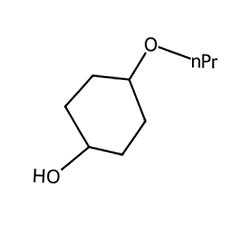 CCCOC1CCC(O)CC1